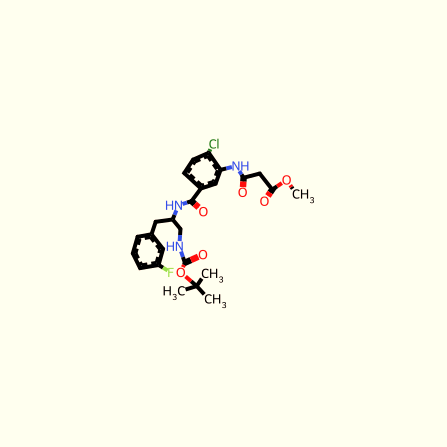 COC(=O)CC(=O)Nc1cc(C(=O)NC(CNC(=O)OC(C)(C)C)Cc2cccc(F)c2)ccc1Cl